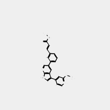 CNC(=O)C=Cc1cccc(-c2cnc3[nH]cc(-c4ccnc(NC)c4)c3c2)c1